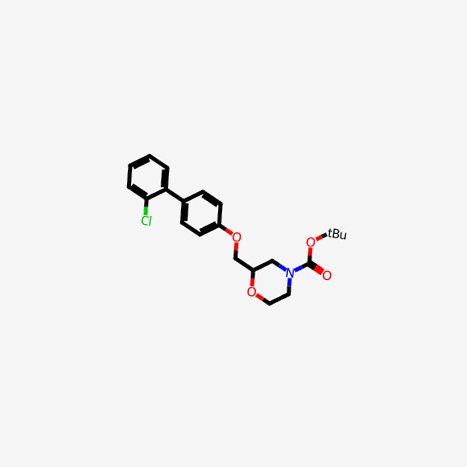 CC(C)(C)OC(=O)N1CCOC(COc2ccc(-c3ccccc3Cl)cc2)C1